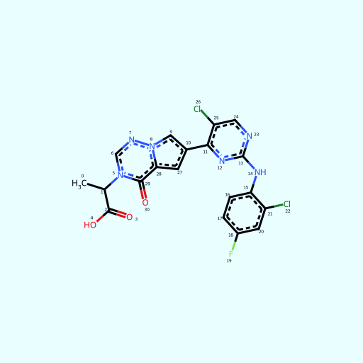 CC(C(=O)O)n1cnn2cc(-c3nc(Nc4ccc(F)cc4Cl)ncc3Cl)cc2c1=O